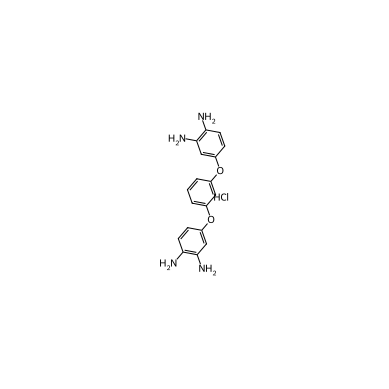 Cl.Nc1ccc(Oc2cccc(Oc3ccc(N)c(N)c3)c2)cc1N